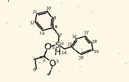 CCC(OC)O[SiH](Cc1ccccc1)Cc1ccccc1